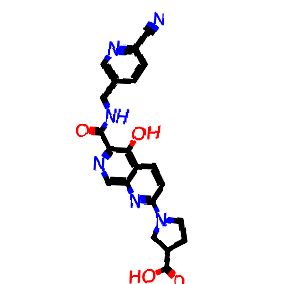 N#Cc1ccc(CNC(=O)c2ncc3nc(N4CCC(C(=O)O)C4)ccc3c2O)cn1